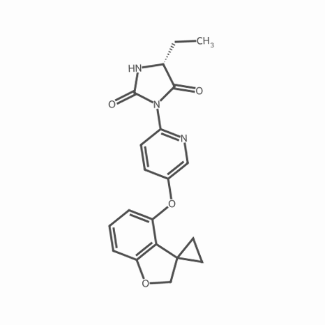 CC[C@H]1NC(=O)N(c2ccc(Oc3cccc4c3C3(CC3)CO4)cn2)C1=O